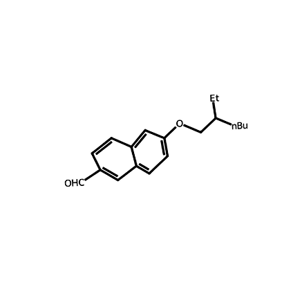 CCCCC(CC)COc1ccc2cc(C=O)ccc2c1